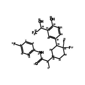 CC(C(=O)Nc1ccc(F)cn1)N1CCC(F)(F)C(c2cnc(O)c(C(O)C(F)(F)F)c2)C1